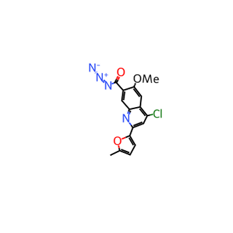 COc1cc2c(Cl)cc(-c3ccc(C)o3)nc2cc1C(=O)N=[N+]=[N-]